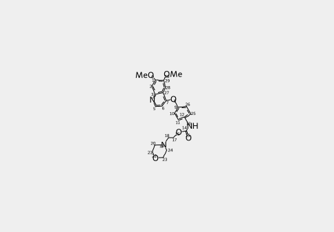 COc1cc2nccc(Oc3ccc(NC(=O)OCCN4CCOCC4)cc3)c2cc1OC